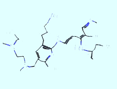 C\N=C/C(C#N)=C(\C=C\Nc1nc(C=O)c(CN(C)CCN(C)CC=O)cc1CCCN)NC(C)CSC